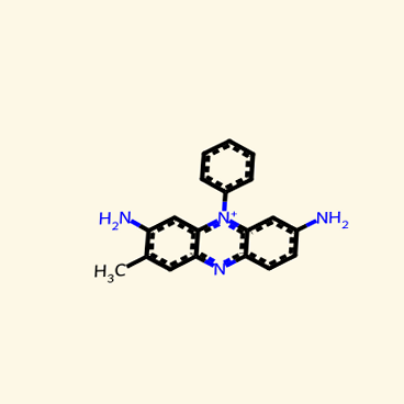 Cc1cc2nc3ccc(N)cc3[n+](-c3ccccc3)c2cc1N